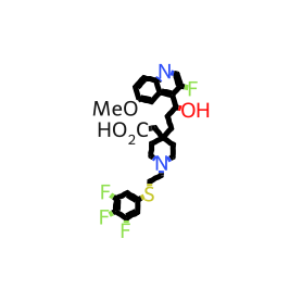 COc1ccc2ncc(F)c(C(O)CCC3(CC(=O)O)CCN(CCSc4cc(F)c(F)c(F)c4)CC3)c2c1